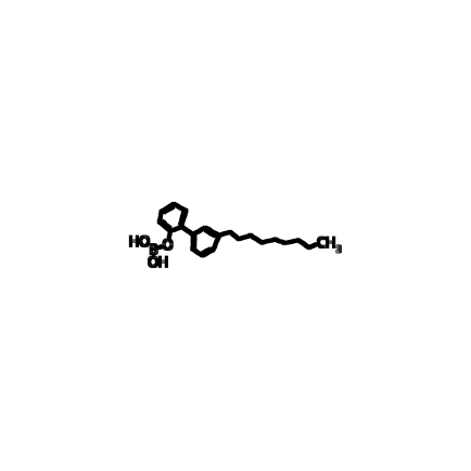 CCCCCCCCCc1cccc(-c2ccccc2OB(O)O)c1